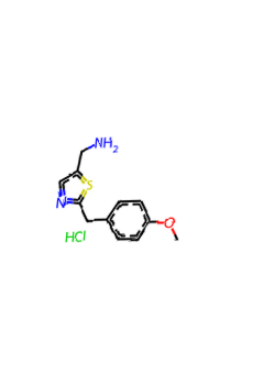 COc1ccc(Cc2ncc(CN)s2)cc1.Cl